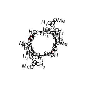 CO[C@H]1C[C@H](CC[C@H](C)[C@H](O)[C@H](C)[C@H]2OC(=O)/C=C/C(C)=C/C[C@H](O)C[C@@H]3C=CC[C@@H](C[C@H](OC)[C@@H](C)[C@@H](O)C[C@@H](O)[C@H](C)[C@@H]([C@@H](C)[C@@H](O)[C@@H](C)CC[C@H]4C[C@H](OC)C[C@H](C)O4)OC(=O)/C=C/C(C)=C/C[C@H](O)C[C@@H]4C=CC[C@@H](C[C@H](OC)[C@@H](C)[C@@H](O)C[C@@H](O)[C@@H]2C)O4)O3)O[C@@H](C)C1